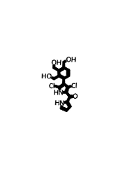 O=C(c1ccc[nH]1)c1[nH]c(Cl)c(-c2ccc(CO)c(CO)c2CO)c1Cl